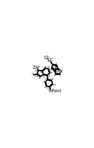 CC1=C2C3=NC=CC3=C1[Si]2(C)C.CCCCCc1ccc(-c2cccc3c2C=C(C)[CH]3[Zr+2])cc1.[Cl-].[Cl-]